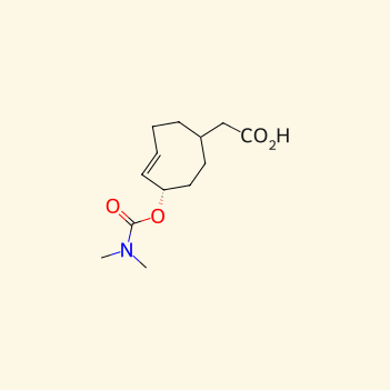 CN(C)C(=O)O[C@@H]1/C=C/CCC(CC(=O)O)CC1